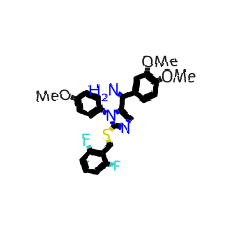 COc1ccc(-n2c(C(N)c3ccc(OC)c(OC)c3)cnc2SCc2c(F)cccc2F)cc1